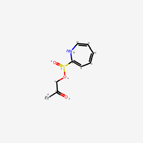 CCC(=O)COS(=O)C1=CC=CC=CN1